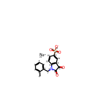 Cc1ccccc1CN1C(=O)C(=O)c2cc(S(=O)(=O)[O-])ccc21.[Na+]